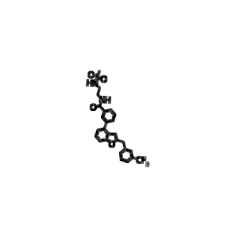 CS(=O)(=O)NCCNC(=O)c1cccc(-c2cccc3oc(Cc4cccc(C(F)(F)F)c4)cc23)c1